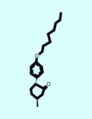 CCCCCCCCOc1ccc([C@H]2CC[C@H](C)CC2=O)cc1